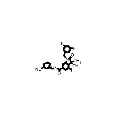 CC1(C)C(=O)N(Cc2cc(F)cc(F)c2)c2cc(C(=O)NCc3cccc(C#N)c3)cc(I)c21